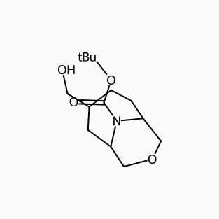 CC(C)(C)OC(=O)N1C2CCC(CO)CC1COC2